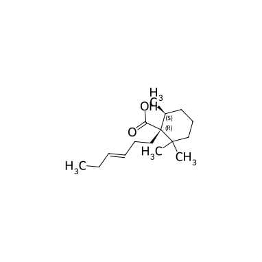 CCC=CCC[C@@]1(C(=O)O)[C@@H](C)CCCC1(C)C